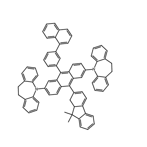 CC1(C)c2ccccc2C2=CC=C(c3c4cc(N5c6ccccc6CCc6ccccc65)ccc4c(-c4cccc(-c5cccc6ccccc56)c4)c4cc(N5c6ccccc6CCc6ccccc65)ccc34)CC21